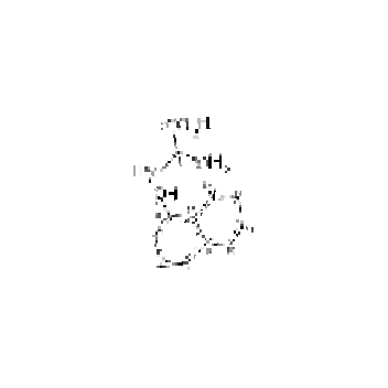 CC(N)C(=O)O.Oc1cccc2cccnc12